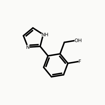 OCc1c(F)cccc1-c1ncc[nH]1